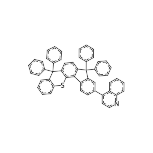 c1ccc(C2(c3ccccc3)c3ccccc3Sc3c2ccc2c3-c3ccc(-c4ccnc5ccccc45)cc3C2(c2ccccc2)c2ccccc2)cc1